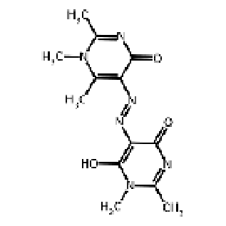 Cc1nc(=O)c(N=Nc2c(O)n(C)c(C)nc2=O)c(C)n1C